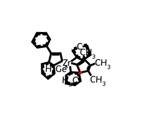 CC1=C(C)C(C)[C]([Zr](=[GeH2])([c]2ccccc2)([c]2ccccc2)[CH]2C=C(c3ccccc3)c3ccccc32)=C1C